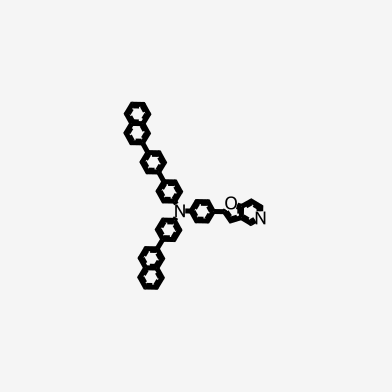 c1ccc2cc(-c3ccc(-c4ccc(N(c5ccc(-c6ccc7ccccc7c6)cc5)c5ccc(-c6cc7cnccc7o6)cc5)cc4)cc3)ccc2c1